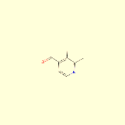 Cc1nccc(C=O)c1C